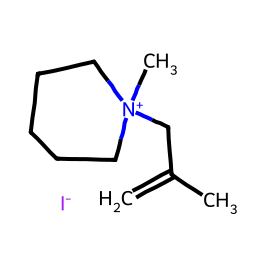 C=C(C)C[N+]1(C)CCCCC1.[I-]